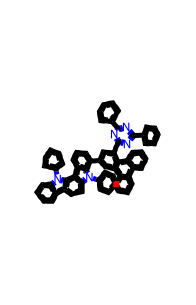 c1ccc(-c2nc(-c3ccccc3)nc(-c3cc(-c4cccc5c6c(ccc7c8ccccc8n(-c8ccccc8)c76)n(-c6ccccc6)c45)cc4c5ccccc5c5ccccc5c34)n2)cc1